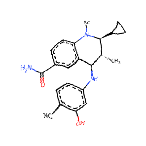 CC(=O)N1c2ccc(C(N)=O)cc2[C@H](Nc2ccc(C#N)c(O)c2)[C@@H](C)[C@@H]1C1CC1